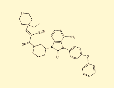 CCC1(/C=C(\C#N)C(=O)N2CCC[C@@H](n3c(=O)n(-c4ccc(Oc5ccccc5)cc4)c4c(N)nccc43)C2)CCOCC1